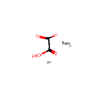 O=C([O-])C(=O)O.[BaH2].[H+]